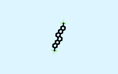 FC(F)(F)c1ccc2cc3c(ccc4c5cc6ccc(C(F)(F)F)cc6cc5ccc34)cc2c1